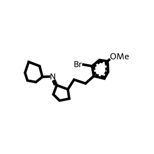 COc1ccc(CCC2CCCC2=NC2CCCCC2)c(Br)c1